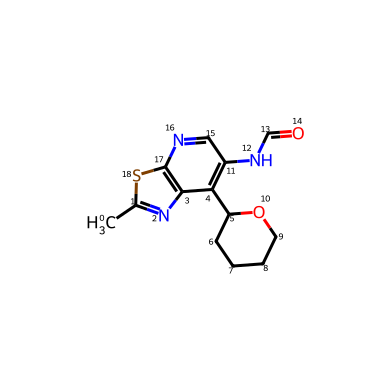 Cc1nc2c(C3CCCCO3)c(NC=O)cnc2s1